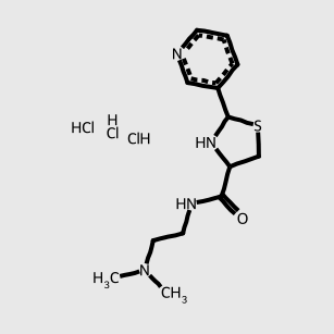 CN(C)CCNC(=O)C1CSC(c2cccnc2)N1.Cl.Cl.Cl